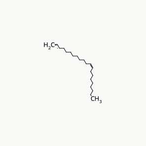 C=C[CH]CCCCCCCC/C=C\CCCCCCCC